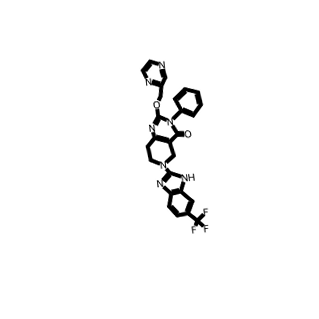 O=c1c2c(nc(OCc3cnccn3)n1-c1ccccc1)CCN(c1nc3ccc(C(F)(F)F)cc3[nH]1)C2